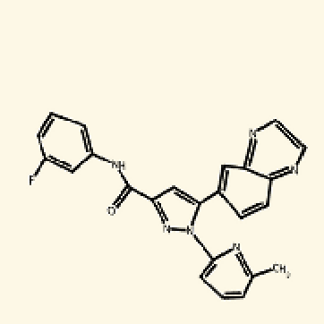 Cc1cccc(-n2nc(C(=O)Nc3cccc(F)c3)cc2-c2ccc3nccnc3c2)n1